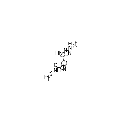 CC(C)(F)CNc1ncc2c(-c3ccn4ncc(C(=O)NCC5CC(F)(F)C5)c4c3)c[nH]c2n1